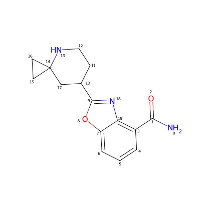 NC(=O)c1cccc2oc(C3CCNC4(CC4)C3)nc12